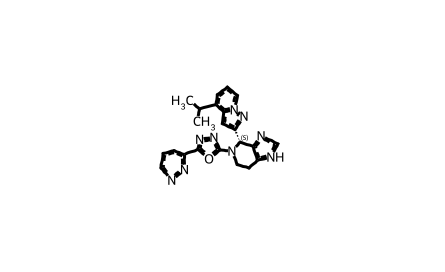 CC(C)c1cccn2nc([C@@H]3c4nc[nH]c4CCN3c3nnc(-c4cccnn4)o3)cc12